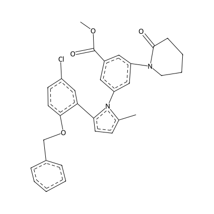 COC(=O)c1cc(N2CCCCC2=O)cc(-n2c(C)ccc2-c2cc(Cl)ccc2OCc2ccccc2)c1